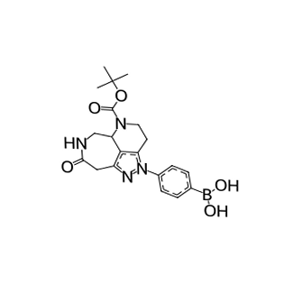 CC(C)(C)OC(=O)N1CCc2c3c(nn2-c2ccc(B(O)O)cc2)CC(=O)NCC31